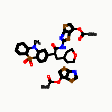 COC(=O)Oc1csc2nc(NC(=O)C(CC3CCOCC3)c3ccc4c(c3)N(C)c3ccccc3S4(=O)=O)sc12.COC(=O)Oc1csc2ncsc12